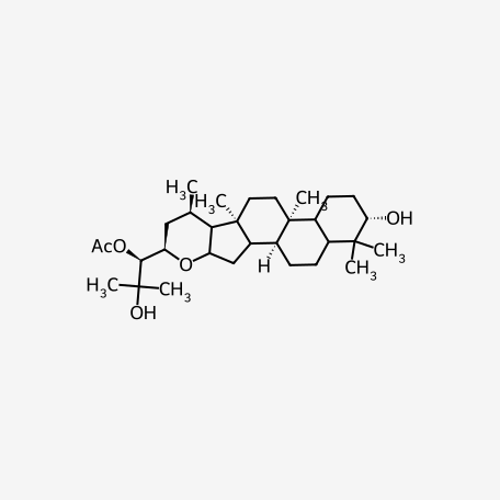 CC(=O)O[C@@H]([C@H]1C[C@@H](C)C2C(CC3[C@@H]4CCC5C(CC[C@H](O)C5(C)C)[C@]4(C)CC[C@]23C)O1)C(C)(C)O